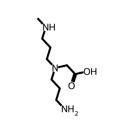 CNCCCN(CCCN)CC(=O)O